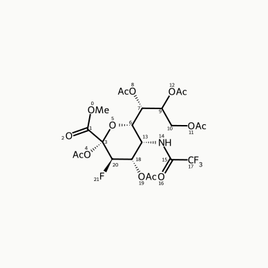 COC(=O)[C@@]1(OC(C)=O)O[C@H]([C@H](OC(C)=O)C(COC(C)=O)OC(C)=O)[C@H](NC(=O)C(F)(F)F)[C@H](OC(C)=O)[C@H]1F